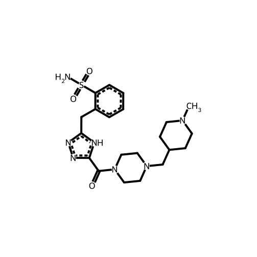 CN1CCC(CN2CCN(C(=O)c3nnc(Cc4ccccc4S(N)(=O)=O)[nH]3)CC2)CC1